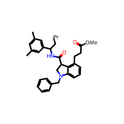 COC(=O)CCc1cccc2c1C(C(=O)NC(CC(C)C)c1cc(C)cc(C)c1)CN2Cc1ccccc1